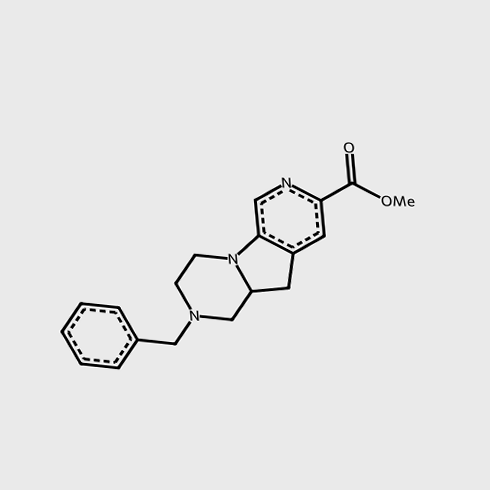 COC(=O)c1cc2c(cn1)N1CCN(Cc3ccccc3)CC1C2